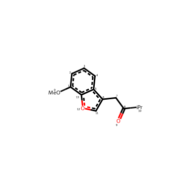 COc1cccc2c(CC(=O)C(C)C)coc12